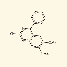 COc1cc2nc(Cl)nc(-c3ccccc3)c2cc1OC